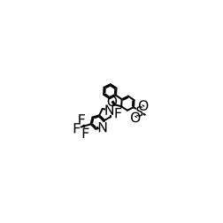 CS(=O)(=O)C1=CC=C(c2ccccc2)C(F)(C(=O)N2Cc3cc(C(F)(F)F)cnc3C2)C1